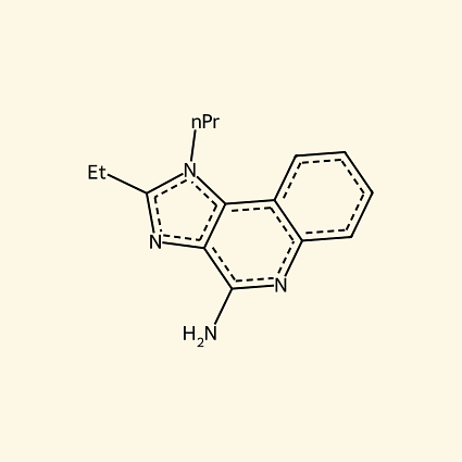 [CH2]CCn1c(CC)nc2c(N)nc3ccccc3c21